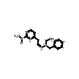 C[S+]([O-])c1nccc(C/C=N\N(CN)Cc2ccccc2)n1